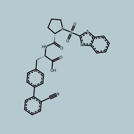 N#Cc1ccccc1-c1ccc(C[C@H](NC(=O)[C@@H]2CCCN2S(=O)(=O)c2nc3ccccc3s2)C(=O)O)cc1